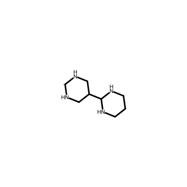 [CH]1NCC(C2NCCCN2)CN1